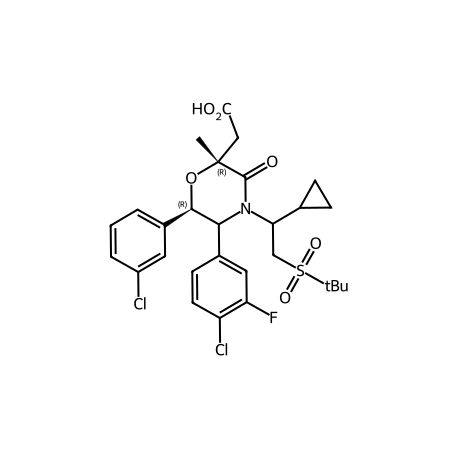 CC(C)(C)S(=O)(=O)CC(C1CC1)N1C(=O)[C@@](C)(CC(=O)O)O[C@H](c2cccc(Cl)c2)C1c1ccc(Cl)c(F)c1